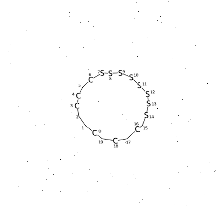 C1CCCCCCSSSSSSSSCCCCC1